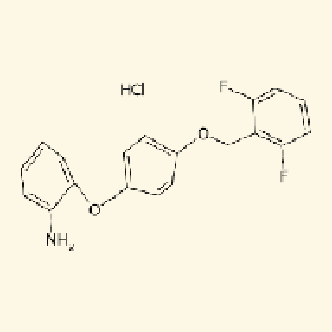 Cl.Nc1ccccc1Oc1ccc(OCc2c(F)cccc2F)cc1